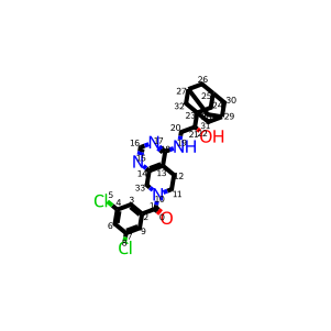 O=C(c1cc(Cl)cc(Cl)c1)N1CCc2c(ncnc2NCC(O)C23CC4CC(CC(C4)C2)C3)C1